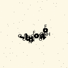 COCCOc1cc2ncnc(Oc3ccc(NC(=O)C4(C(=O)Nc5ccc(F)cc5)CC4)cc3F)c2nc1OC